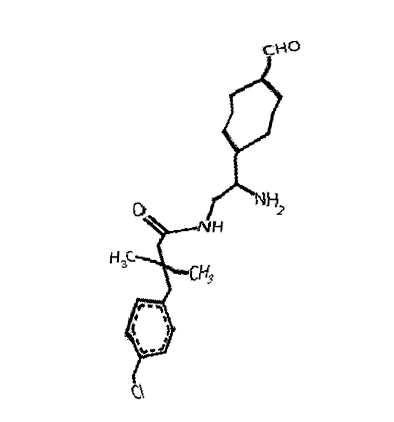 CC(C)(C(=O)NCC(N)C1CCC(C=O)CC1)c1ccc(Cl)cc1